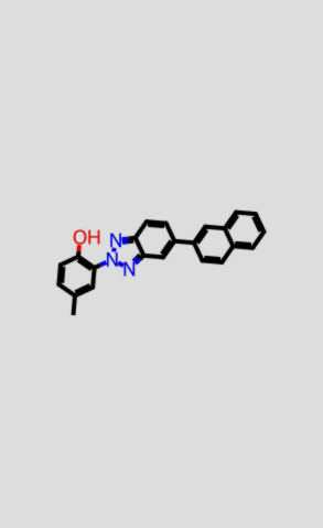 Cc1ccc(O)c(-n2nc3ccc(-c4ccc5ccccc5c4)cc3n2)c1